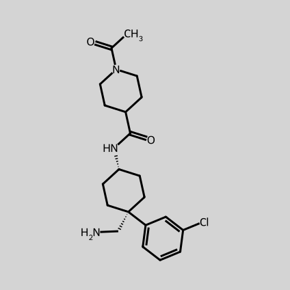 CC(=O)N1CCC(C(=O)N[C@H]2CC[C@](CN)(c3cccc(Cl)c3)CC2)CC1